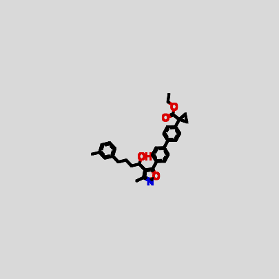 CCOC(=O)C1(c2ccc(-c3ccc(-c4onc(C)c4C(O)CCCc4cccc(C)c4)cc3)cc2)CC1